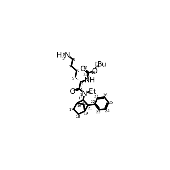 CCN(C(=O)[C@H](CCCCN)NC(=O)OC(C)(C)C)C1C2CCC(C2)C1c1ccccc1